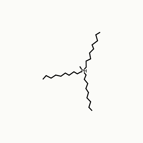 CCCCCCCCC[PH](C)(CCCCCCCCC)CCCCCCCCC